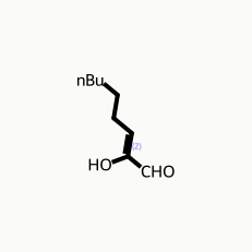 CCCCCC/C=C(\O)C=O